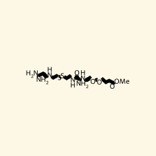 COC(=O)CCCOCOC=CNC(N)C(=O)NCCSSCCNC=CC(N)N